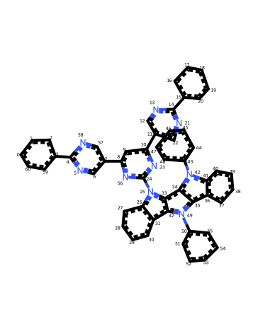 c1ccc(-c2ncc(-c3cc(-c4cnc(-c5ccccc5)nc4)nc(-n4c5ccccc5c5c4c4c(c6ccccc6n4-c4ccccc4)n5-c4ccccc4)n3)cn2)cc1